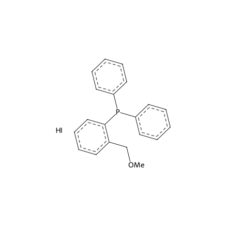 COCc1ccccc1P(c1ccccc1)c1ccccc1.I